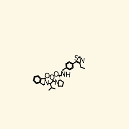 CCc1ncsc1-c1ccc(CNC(=O)[C@@H]2CCCN2C(=O)C(C(C)C)N2Cc3ccccc3C2=O)cc1